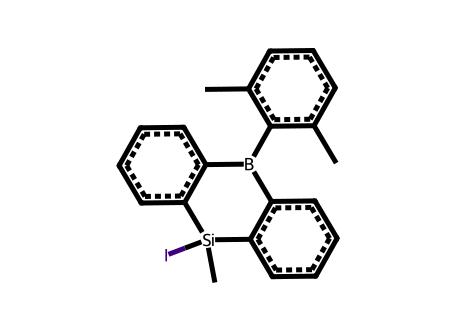 Cc1cccc(C)c1B1c2ccccc2[Si](C)(I)c2ccccc21